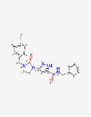 O=C(NCc1ccccc1)c1cc(N2CCN(Cc3ccc(F)cc3)C2=O)n[nH]1